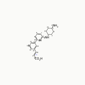 N[C@H]1CC[C@H](Nc2cccc(-c3cncc(/C=C/C(=O)O)c3)n2)CC1